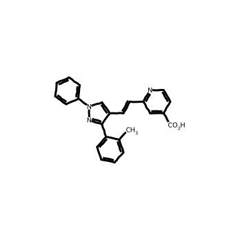 Cc1ccccc1-c1nn(-c2ccccc2)cc1C=Cc1cc(C(=O)O)ccn1